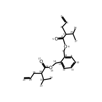 C=CCC(C(=O)OCc1ccccc1COC(=O)C(CC=C)C(C)C)C(C)C